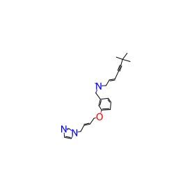 CN(C/C=C/C#CC(C)(C)C)Cc1cccc(OC/C=C/Cn2ccnc2)c1